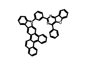 c1ccc(-c2nc(-c3cccc(-n4c5ccccc5c5cc6c(cc54)c4ccccc4c4c5ccccc5ccc64)c3)nc3c2oc2ccccc23)cc1